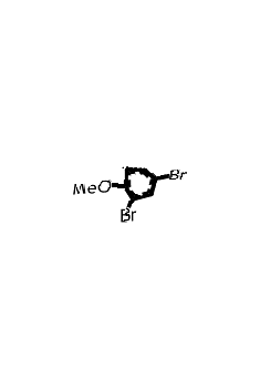 COc1[c]cc(Br)cc1Br